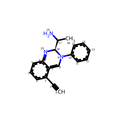 C#Cc1cccc2c1=CN(c1ccccc1)[C@H](C(C)N)N=2